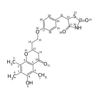 Cc1c(C)c2c(c(C)c1O)C(=O)CC(CCOc1ccc(CC3SC(=O)NC3=O)cc1)O2